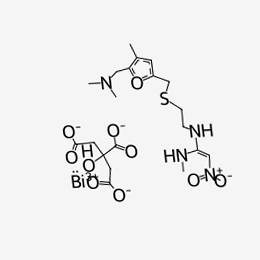 CNC(=C[N+](=O)[O-])NCCSCc1cc(C)c(CN(C)C)o1.O=C([O-])CC(O)(CC(=O)[O-])C(=O)[O-].[Bi+3]